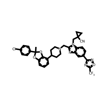 CC1(c2ccc(Cl)cc2)Oc2cccc(C3CCN(Cc4nc5cc(-c6noc(C(F)(F)F)n6)ccc5n4CC4(C#N)CC4)CC3)c2O1